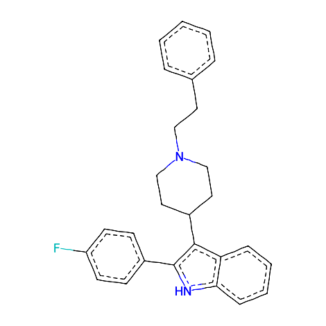 Fc1ccc(-c2[nH]c3ccccc3c2C2CCN(CCc3ccccc3)CC2)cc1